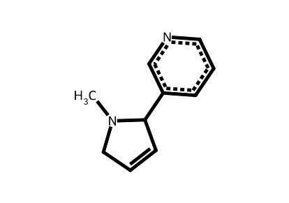 CN1CC=CC1c1cccnc1